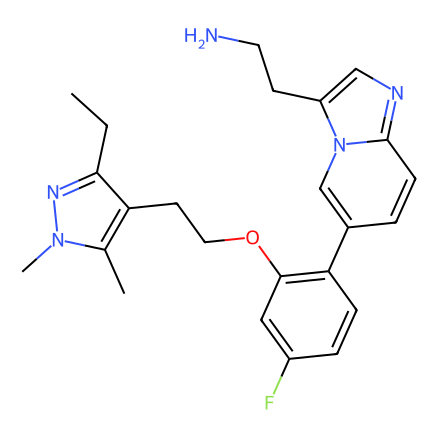 CCc1nn(C)c(C)c1CCOc1cc(F)ccc1-c1ccc2ncc(CCN)n2c1